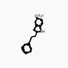 O=C(O)c1ccc2[nH]c(CCc3ccccc3)cc2c1